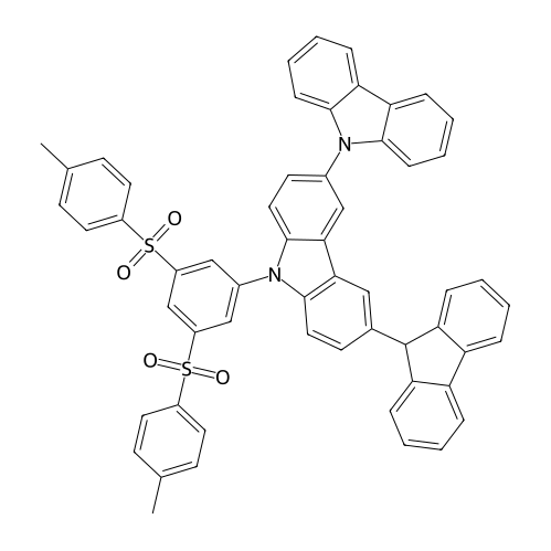 Cc1ccc(S(=O)(=O)c2cc(-n3c4ccc(C5c6ccccc6-c6ccccc65)cc4c4cc(-n5c6ccccc6c6ccccc65)ccc43)cc(S(=O)(=O)c3ccc(C)cc3)c2)cc1